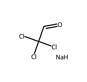 O=CC(Cl)(Cl)Cl.[NaH]